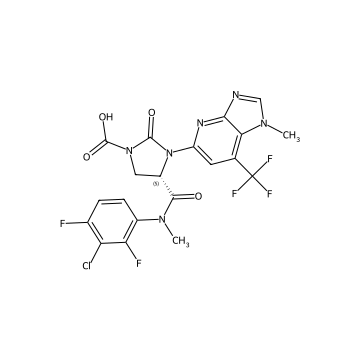 CN(C(=O)[C@@H]1CN(C(=O)O)C(=O)N1c1cc(C(F)(F)F)c2c(ncn2C)n1)c1ccc(F)c(Cl)c1F